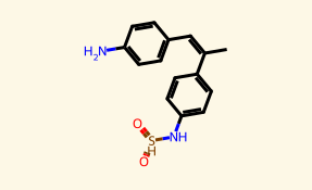 CC(=Cc1ccc(N)cc1)c1ccc(N[SH](=O)=O)cc1